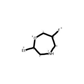 CCC1CNCC(F)CO1